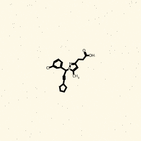 Cc1cc(CCC(=O)O)nn1C(C#CC1CCCC1)c1cccc(Cl)c1